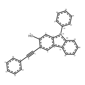 Oc1cc2c(cc1C#Cc1ccccc1)c1ccccc1n2-c1ccccc1